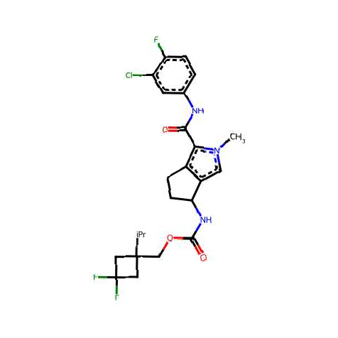 CC(C)C1(COC(=O)NC2CCc3c2cn(C)c3C(=O)Nc2ccc(F)c(Cl)c2)CC(F)(F)C1